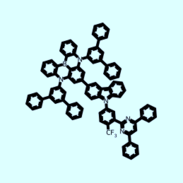 FC(F)(F)c1ccc(-n2c3ccccc3c3cc(-c4cc5c6c(c4)N(c4cc(-c7ccccc7)cc(-c7ccccc7)c4)c4ccccc4B6c4ccccc4N5c4cc(-c5ccccc5)cc(-c5ccccc5)c4)ccc32)cc1-c1nc(-c2ccccc2)cc(-c2ccccc2)n1